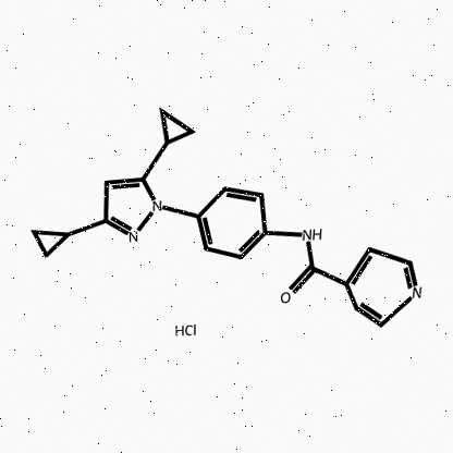 Cl.O=C(Nc1ccc(-n2nc(C3CC3)cc2C2CC2)cc1)c1ccncc1